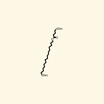 CCCCCCCCCCCCCCCCCCCCCCCCCCOC(=O)CCCCCCCCCCCCC